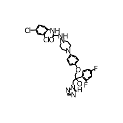 O=C(Nc1ccc(Cl)cc1Cl)NN1CCN(c2ccc(OCC(O)(Cn3cncn3)c3ccc(F)cc3F)cc2)CC1